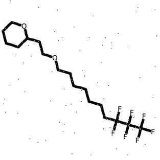 FC(F)(F)C(F)(F)C(F)(F)CCCCCCCOCCC1CCCCO1